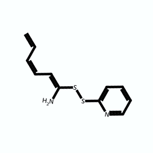 C=C/C=C\C=C(/N)SSc1ccccn1